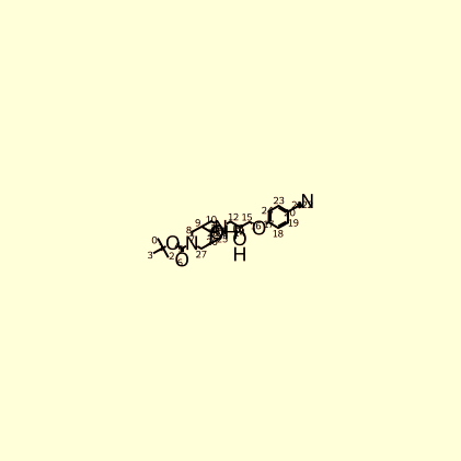 CC(C)(C)OC(=O)N1CC2CN(C[C@H](O)COc3ccc(C#N)cc3)CC(C1)C2(C)O